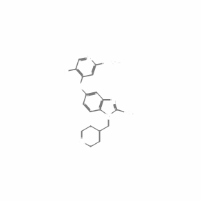 COc1cc(Sc2ccc3c(c2)nc(C(C)(C)C)n3CC2CCOCC2)c(F)cn1